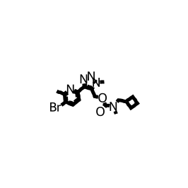 Cc1nc(-c2nnn(C)c2COC(=O)N(C)CC2CCC2)ccc1Br